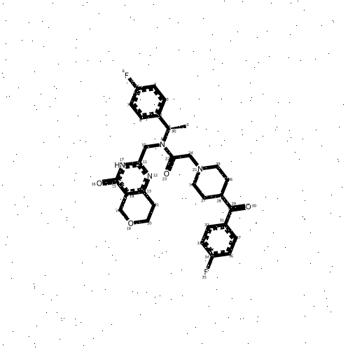 C[C@H](c1ccc(F)cc1)N(Cc1nc2c(c(=O)[nH]1)COCC2)C(=O)CN1CCC(C(=O)c2ccc(F)cc2)CC1